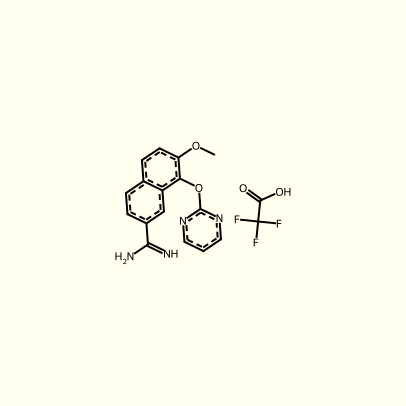 COc1ccc2ccc(C(=N)N)cc2c1Oc1ncccn1.O=C(O)C(F)(F)F